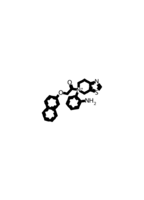 Nc1ccccc1[N+]1(C(=O)COc2ccc3ccccc3c2)CCc2ncsc2C1